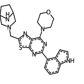 c1cc(-c2nc(N3CCOCC3)c3nc(CN4CC5CCC(C4)N5)sc3n2)c2cc[nH]c2c1